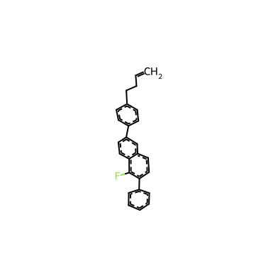 C=CCCc1ccc(-c2ccc3c(F)c(-c4ccccc4)ccc3c2)cc1